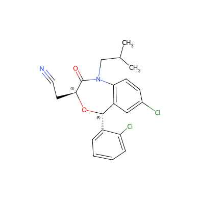 CC(C)CN1C(=O)[C@H](CC#N)O[C@@H](c2ccccc2Cl)c2cc(Cl)ccc21